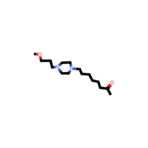 COCCCN1CCN(CCCCCCC(C)=O)CC1